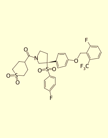 O=C(C1CCS(=O)(=O)CC1)N1CC[C@](c2ccc(OCc3c(F)cccc3C(F)(F)F)cc2)(S(=O)(=O)c2ccc(F)cc2)C1